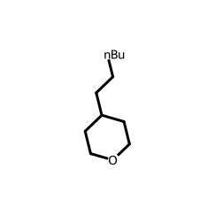 [CH2]CCCCCC1CCOCC1